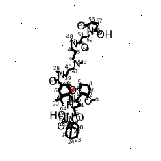 COc1cccc(OC)c1-c1cc(C(=O)NC2(C(=O)O)C3CC4CC(C3)CC2C4)nn1-c1ccc(C(=O)N(C)CCCN(C)CCCN(C)C(=O)CCN2C(=O)C=CC2O)cc1C(C)C